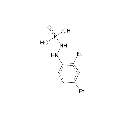 CCc1ccc(NNP(=O)(O)O)c(CC)c1